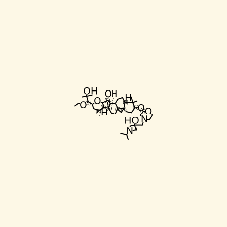 CCO[C@@H](C1C[C@@H](C)[C@H]2C(O1)[C@H](O)[C@@]1(C)C3CC[C@H]4C(C)(C)[C@@H](O[C@H]5CN(CC6(O)CN(C(C)C)C6)CCO5)CC[C@@]45C[C@@]35CC[C@]21C)C(C)(C)O